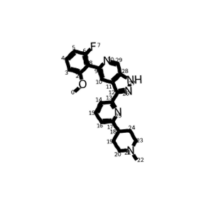 COc1cccc(F)c1-c1cc2c(-c3cccc(C4CCN(C)CC4)n3)n[nH]c2cn1